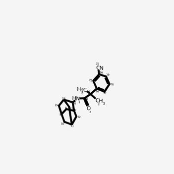 CC(C)(C(=O)NC1C2CC3CC(C2)CC1C3)c1cccc(C#N)c1